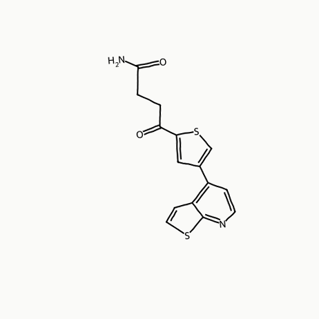 NC(=O)CCC(=O)c1cc(-c2ccnc3sccc23)cs1